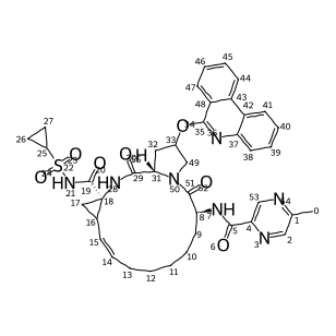 Cc1cnc(C(=O)N[C@H]2CCCCC/C=C\C3C[C@@]3(C(=O)NS(=O)(=O)C3CC3)NC(=O)[C@@H]3CC(Oc4nc5ccccc5c5ccccc45)CN3C2=O)cn1